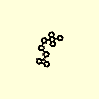 c1ccc(-c2c3ccccc3c(-c3cccc(-c4cccc(-c5cccc(-n6c7ccccc7c7ccncc76)n5)n4)n3)c3ccccc23)cc1